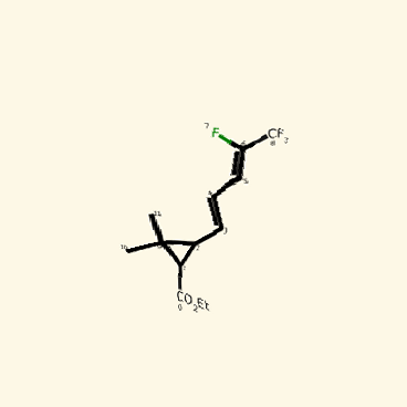 CCOC(=O)C1C(/C=C/C=C(\F)C(F)(F)F)C1(C)C